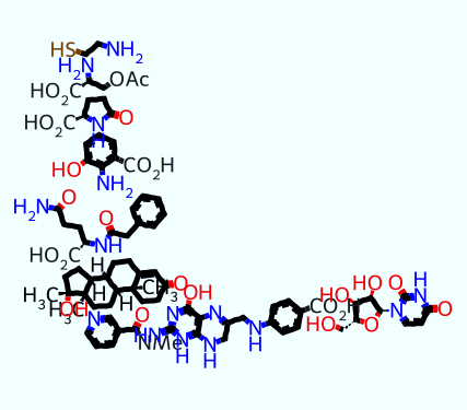 CC(=O)OC[C@H](N)C(=O)O.CNC(=O)c1cccnc1.C[C@]12CCC(=O)C=C1CC[C@@H]1[C@@H]2CC[C@@]2(C)[C@H]1CC[C@@]2(C)O.N=c1nc(O)c2c([nH]1)NCC(CNc1ccc(C(=O)O)cc1)=N2.NC(=O)CC[C@H](NC(=O)Cc1ccccc1)C(=O)O.NCCS.Nc1c(O)cccc1C(=O)O.O=C1CC[C@H](C(=O)O)N1.O=c1ccn([C@@H]2O[C@H](CO)[C@@H](O)[C@H]2O)c(=O)[nH]1